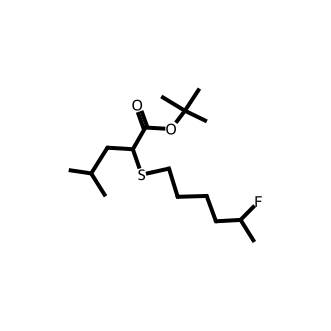 CC(C)CC(SCCCCC(C)F)C(=O)OC(C)(C)C